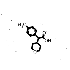 Cc1ccc(C(C(=O)O)C2CCOCC2)cc1